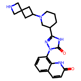 O=c1ccc2cccc(-n3nc(C4CCCN(C5CC6(CNC6)C5)C4)[nH]c3=O)c2[nH]1